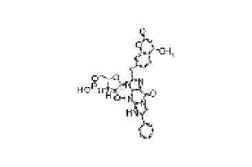 Cc1cc(=O)oc2cc(Sc3nc4c(=O)n5cc(-c6ccccc6)[nH]c5nc4n3[C@@H]3OC4COP(O)O[C@H]4[C@@H]3O)ccc12